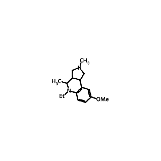 CCN1c2ccc(OC)cc2C2CN(C)CC2C1C